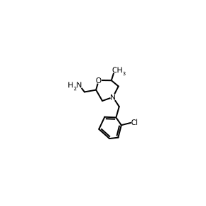 CC1CN(Cc2ccccc2Cl)CC(CN)O1